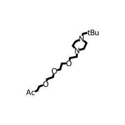 CC(=O)CCOCCOCCOCCN1CCN(CC(C)(C)C)CC1